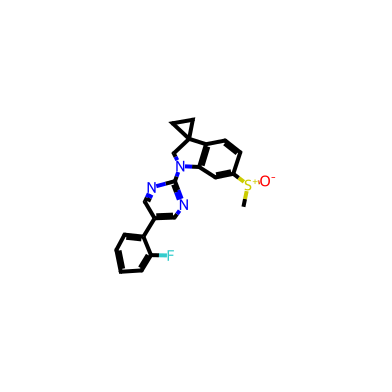 C[S+]([O-])c1ccc2c(c1)N(c1ncc(-c3ccccc3F)cn1)CC21CC1